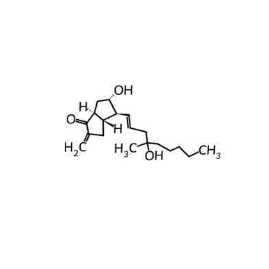 C=C1C[C@H]2[C@H](C=CCC(C)(O)CCCCC)[C@@H](O)C[C@@H]2C1=O